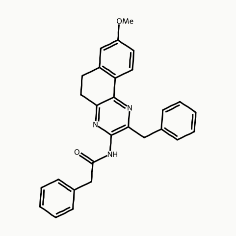 COc1ccc2c(c1)CCc1nc(NC(=O)Cc3ccccc3)c(Cc3ccccc3)nc1-2